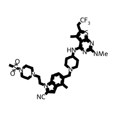 CNc1nc(NC2CCN(Cc3ccc4c(cc(C#N)n4CCN4CCN(S(C)(=O)=O)CC4)c3C)CC2)c2c(C)c(CC(F)(F)F)sc2n1